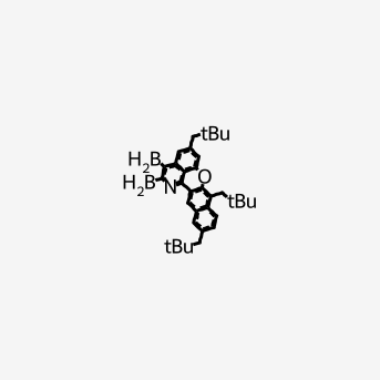 Bc1nc2c3c(cc(CC(C)(C)C)cc3c1B)Oc1c-2cc2cc(CC(C)(C)C)ccc2c1CC(C)(C)C